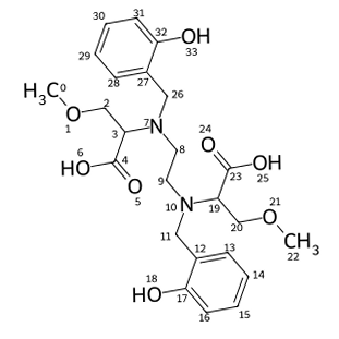 COCC(C(=O)O)N(CCN(Cc1ccccc1O)C(COC)C(=O)O)Cc1ccccc1O